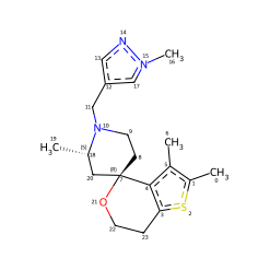 Cc1sc2c(c1C)[C@]1(CCN(Cc3cnn(C)c3)[C@@H](C)C1)OCC2